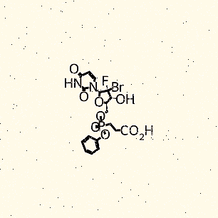 O=C(O)CCP(=O)(OC[C@H]1O[C@@H](n2ccc(=O)[nH]c2=O)[C@@](F)(Br)[C@@H]1O)Oc1ccccc1